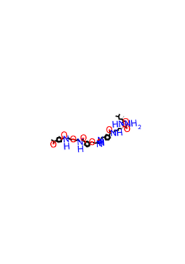 CC(=O)c1ccc(C(=O)NCCOCCNC(=O)c2cccc(OCc3cn(Cc4cccc(C(=O)NCCCC[C@H](NC(=O)[C@@H](C)CC(C)C)C(N)=O)c4)nn3)c2)cc1